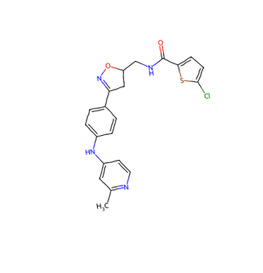 Cc1cc(Nc2ccc(C3=NOC(CNC(=O)c4ccc(Cl)s4)C3)cc2)ccn1